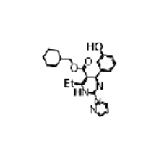 CCC1=C(C(=O)OCC2CCCCC2)C(c2cccc(O)c2)N=C(n2cccn2)N1